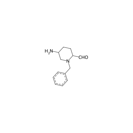 NC1CCC(C=O)N(Cc2ccccc2)C1